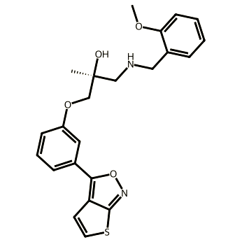 COc1ccccc1CNC[C@](C)(O)COc1cccc(-c2onc3sccc23)c1